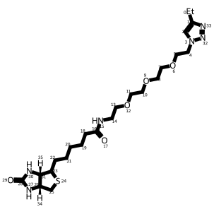 CCc1cn(CCOCCOCCOCCNC(=O)CCCCCC2SC[C@@H]3NC(=O)N[C@H]23)nn1